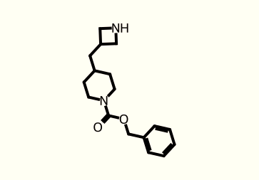 O=C(OCc1ccccc1)N1CCC(CC2CNC2)CC1